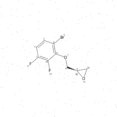 Fc1ccc(Br)c(OC[C@H]2CO2)c1F